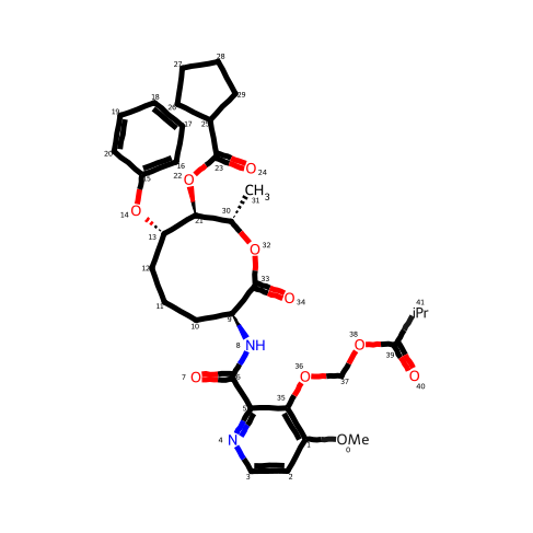 COc1ccnc(C(=O)N[C@H]2CCC[C@H](Oc3ccccc3)[C@@H](OC(=O)C3CCCC3)[C@H](C)OC2=O)c1OCOC(=O)C(C)C